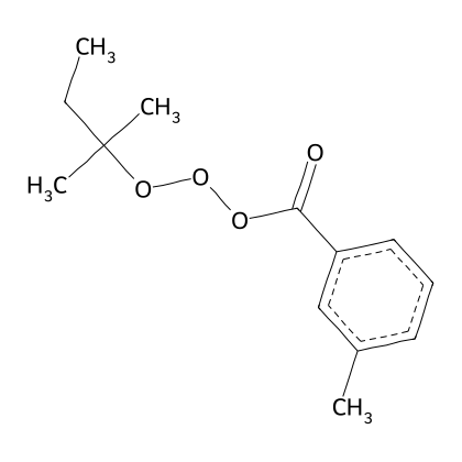 CCC(C)(C)OOOC(=O)c1cccc(C)c1